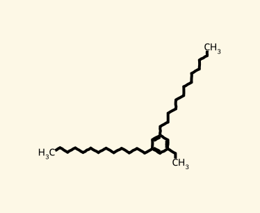 CCCCCCCCCCCCCc1cc(CC)cc(CCCCCCCCCCCCC)c1